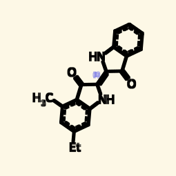 CCc1cc(C)c2c(c1)N/C(=C1/Nc3ccccc3C1=O)C2=O